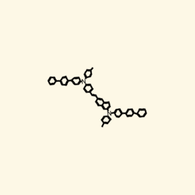 Cc1ccc(N(c2ccc(/C=C/c3ccc4cc(N(c5ccc(C)cc5)c5ccc(-c6ccc(-c7ccccc7)cc6)cc5)ccc4c3)cc2)c2ccc(-c3ccc(-c4ccccc4)cc3)cc2)cc1